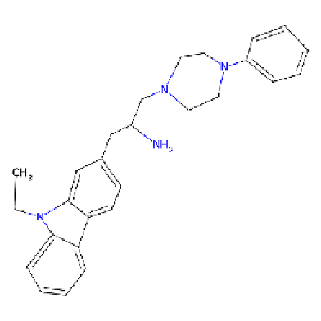 CCn1c2ccccc2c2ccc(CC(N)CN3CCN(c4ccccc4)CC3)cc21